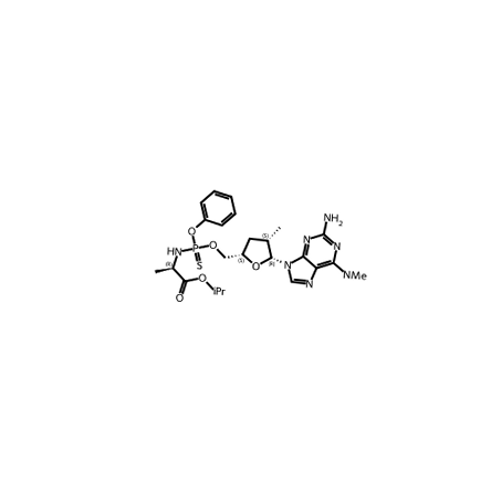 CNc1nc(N)nc2c1ncn2[C@@H]1O[C@H](COP(=S)(N[C@H](C)C(=O)OC(C)C)Oc2ccccc2)C[C@@H]1C